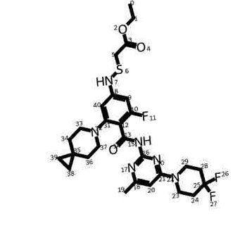 CCOC(=O)CSNc1cc(F)c(C(=O)Nc2nc(C)cc(N3CCC(F)(F)CC3)n2)c(N2CCC3(CC2)CC3)c1